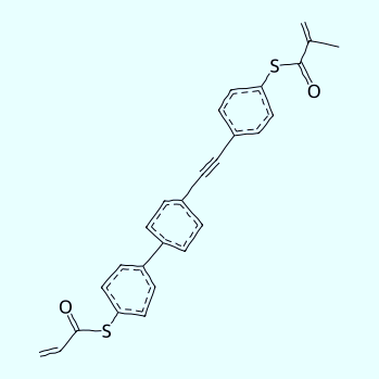 C=CC(=O)Sc1ccc(-c2ccc(C#Cc3ccc(SC(=O)C(=C)C)cc3)cc2)cc1